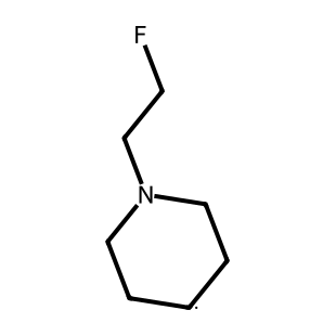 FCCN1CC[CH]CC1